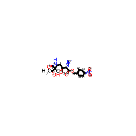 CC(O)C1(C)C(=O)NC1CC(=O)C(=[N+]=[N-])C(=O)OCc1ccc([N+](=O)[O-])cc1